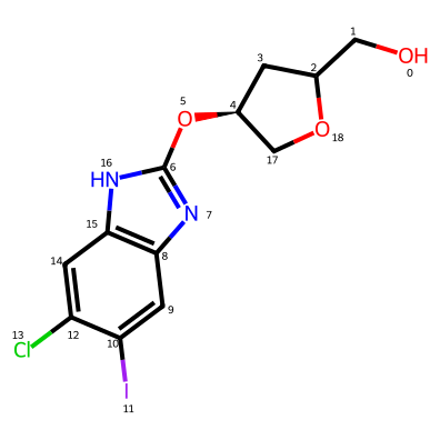 OCC1C[C@H](Oc2nc3cc(I)c(Cl)cc3[nH]2)CO1